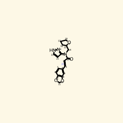 O=C(/C=C/c1ccc2c(c1)OCO2)N(CC1CCCO1)c1cc[nH]n1